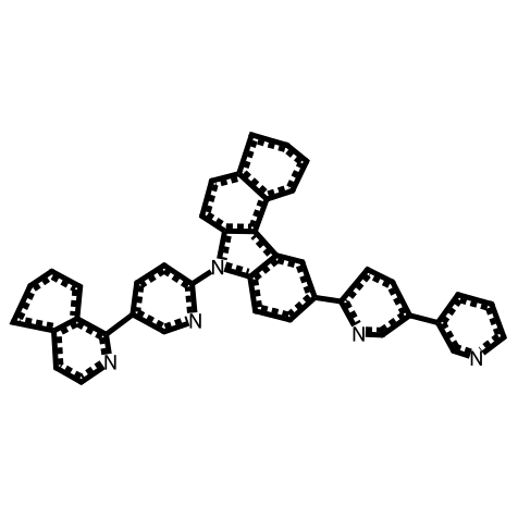 c1cncc(-c2ccc(-c3ccc4c(c3)c3c5ccccc5ccc3n4-c3ccc(-c4nccc5ccccc45)cn3)nc2)c1